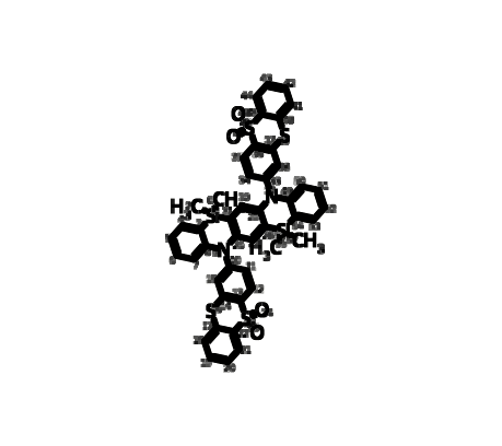 C[Si]1(C)c2ccccc2N(c2ccc3c(c2)Sc2ccccc2S3(=O)=O)c2cc3c(cc21)N(c1ccc2c(c1)Sc1ccccc1S2(=O)=O)c1ccccc1[Si]3(C)C